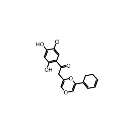 O=C(CC1=COC=C(C2=CC=CCC2)O1)c1cc(Cl)c(O)cc1O